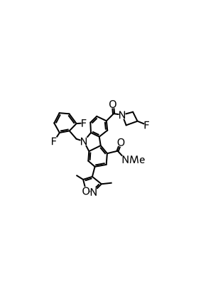 CNC(=O)c1cc(-c2c(C)noc2C)cc2c1c1cc(C(=O)N3CC(F)C3)ccc1n2Cc1c(F)cccc1F